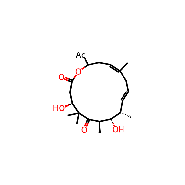 CC(=O)C1C/C=C(/C)C/C=C/[C@H](C)[C@H](O)[C@@H](C)C(=O)C(C)(C)[C@@H](O)CC(=O)O1